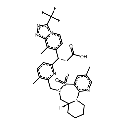 Cc1cnc2c(c1)S(=O)(=O)N(Cc1nc([C@@H](CC(=O)O)c3ccn4c(C(F)(F)F)nnc4c3C)ccc1C)C[C@H]1CCCCN21